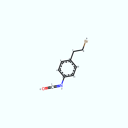 O=C=Nc1ccc(CCBr)cc1